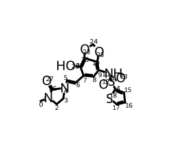 CN1CCN(C=Cc2cc(NS(=O)(=O)c3cccs3)c3c(c2O)OCO3)C1=O